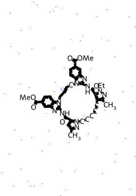 CCn1nc(C)c2c1C(=O)Nc1nc3cc(C(=O)OC)ccc3n1C/C=C/Cn1c(nc3cc(C(=O)OC)ccc31)NC(=O)c1cc(C)nn1CCCCC2